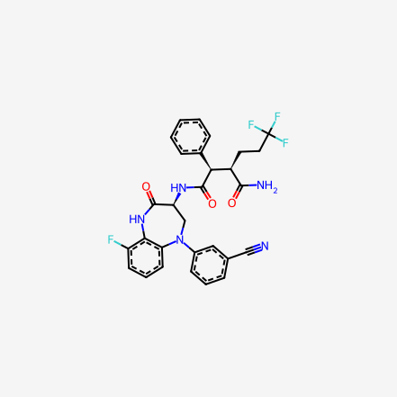 N#Cc1cccc(N2C[C@H](NC(=O)[C@@H](c3ccccc3)[C@@H](CCC(F)(F)F)C(N)=O)C(=O)Nc3c(F)cccc32)c1